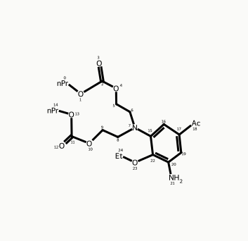 CCCOC(=O)OCCN(CCOC(=O)OCCC)c1cc(C(C)=O)cc(N)c1OCC